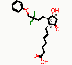 O=C(O)CCCC=CC[C@H]1C(=O)C[C@@H](O)[C@@H]1CCC(F)(F)COc1ccccc1